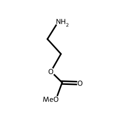 COC(=O)OCCN